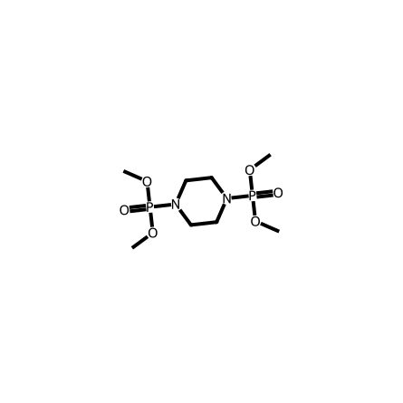 COP(=O)(OC)N1CCN(P(=O)(OC)OC)CC1